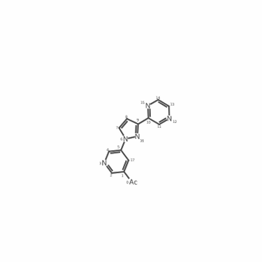 CC(=O)c1cncc(-n2ccc(-c3cnccn3)n2)c1